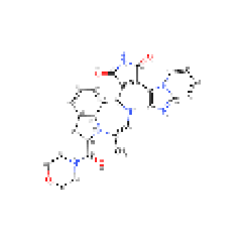 CC1=CN=C(C2=C(c3cnc4ccccn34)C(=O)NC2=O)c2cccc3c2N1C(C(=O)N1CCOCC1)C3